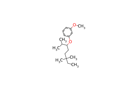 CCC(C)(C)CCC(Oc1cccc(OC)c1)C(C)C